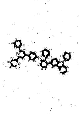 c1ccc(-n2c3ccc(-c4cccc5c4c4ccccc4n5-c4ccc(-c5cc(-c6ccccn6)nc(-c6ccccn6)c5)cc4)cc3c3ncccc32)cc1